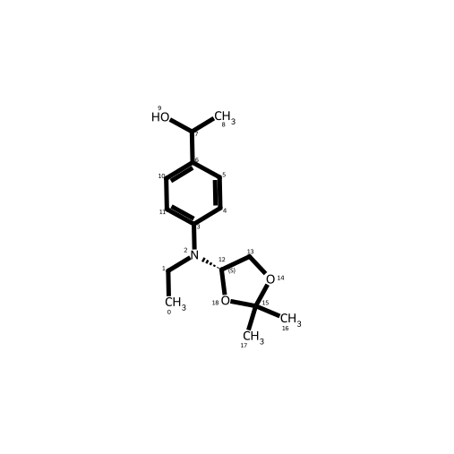 CCN(c1ccc(C(C)O)cc1)[C@@H]1COC(C)(C)O1